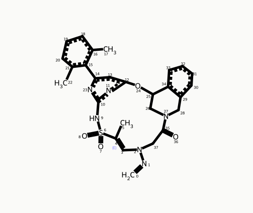 C=NN1/C=C(\C)S(=O)(=O)Nc2nc(cc(-c3c(C)cccc3C)n2)OC2CN(Cc3ccccc32)C(=O)C1